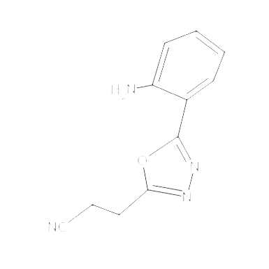 N#CCCc1nnc(-c2ccccc2N)o1